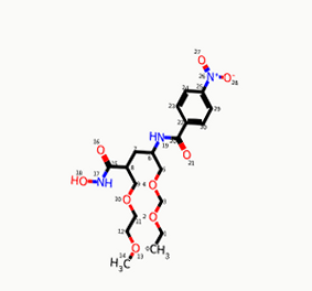 CCOCOCC(CC(COCCOC)C(=O)NO)NC(=O)c1ccc([N+](=O)[O-])cc1